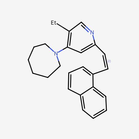 CCc1cnc(/C=C\c2cccc3ccccc23)cc1N1CCCCCC1